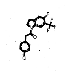 O=C(Cc1ccc(Cl)cc1)n1ccc2cc(F)c(C(F)(F)F)cc21